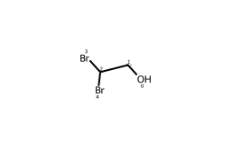 O[CH]C(Br)Br